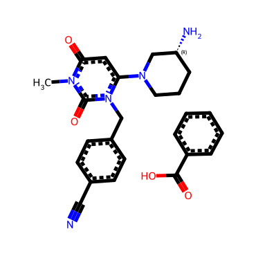 Cn1c(=O)cc(N2CCC[C@@H](N)C2)n(Cc2ccc(C#N)cc2)c1=O.O=C(O)c1ccccc1